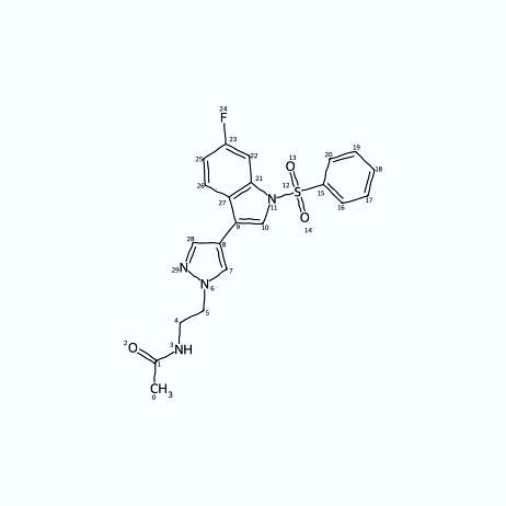 CC(=O)NCCn1cc(-c2cn(S(=O)(=O)c3ccccc3)c3cc(F)ccc23)cn1